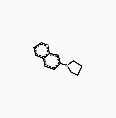 c1cnc2cc(N3CCCC3)ccc2c1